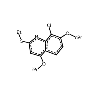 CCCOc1ccc2c(OC(C)C)cc(SCC)nc2c1Cl